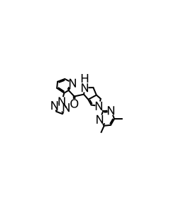 Cc1cc(C)nc(N2C=C3C(CNC3C(=O)c3ncccc3-n3nccn3)C2)n1